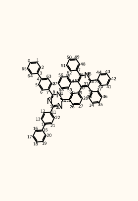 c1ccc(-c2ccc(-c3nc(-c4ccc(-c5ccccc5)cc4)nc(-c4cccc(-c5c(-c6ccccc6)c(-c6ccccc6)nc(-c6ccccc6)c5-c5ccccc5)c4)n3)cc2)cc1